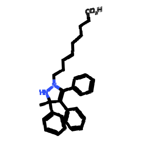 CC1(c2ccccc2)NN(CCCCCCCCC(=O)O)C(c2ccccc2)=C1c1ccccc1